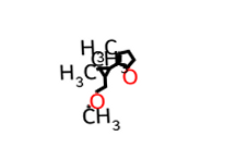 CCOCCC1C(C2=C(C)CCC2=O)C1(C)C